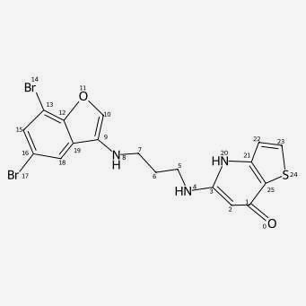 O=c1cc(NCCCNc2coc3c(Br)cc(Br)cc23)[nH]c2ccsc12